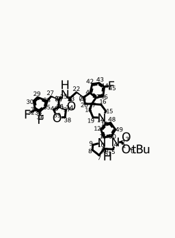 CC(C)(C)OC(=O)N1C[C@@H]2CCCN2c2cc(N3CCC4(CC3)C[C@@H](CC(=O)N[C@H](Cc3ccc(F)c(F)c3)[C@H]3CCOC3)c3ccc(F)cc34)ccc21